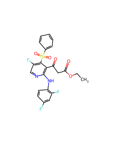 CCOC(=O)CC(=O)c1c(Nc2ccc(F)cc2F)ncc(F)c1S(=O)(=O)c1ccccc1